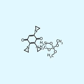 CO[Si](OC)(OC)O[SiH3].O=C1C=C(N2CC2)C(=O)C(N2CC2)=C1N1CC1